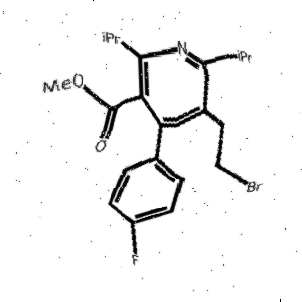 COC(=O)c1c(C(C)C)nc(C(C)C)c(CCBr)c1-c1ccc(F)cc1